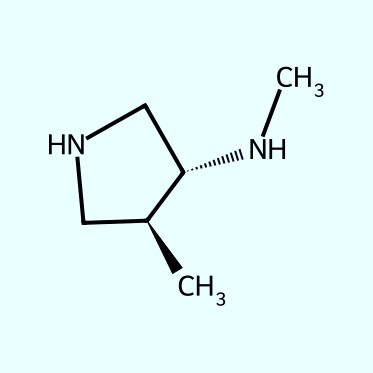 CN[C@H]1CNC[C@@H]1C